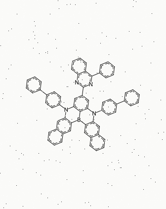 c1ccc(-c2ccc(N3c4cc5ccccc5cc4B4c5cc6ccccc6cc5N(c5ccc(-c6ccccc6)cc5)c5cc(-c6nc(-c7ccccc7)c7ccccc7n6)cc3c54)cc2)cc1